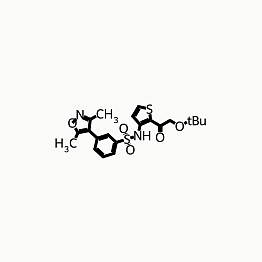 Cc1noc(C)c1-c1cccc(S(=O)(=O)Nc2ccsc2C(=O)COC(C)(C)C)c1